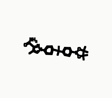 Cc1cn(-c2ccc(C(C)(C)c3ccc(B4OC(C)(C)C(C)(C)O4)cc3)cc2)nc1C(N)=O